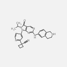 CC(C)n1c(=O)c2cnc(Nc3ccc4c(c3)CCNC4)nc2n1-c1ccnc(C2(C#N)CCC2)c1